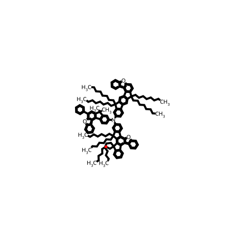 CCCCCCCCC1(CCCCCCCC)c2cc(N(c3ccc4c(c3)C(C)(C)c3cc(-c5ccccc5)c5oc6ccccc6c5c3-4)c3ccc4c(c3)C(CCCCCCC)(CCCCCCC)c3c5c(c6c(oc7ccccc76)c3-4)-c3ccccc3C5(CCCCCCC)CCCCCCC)ccc2-c2cc3c(cc21)-c1c(ccc2oc4ccccc4c12)C3(CCCCCCCC)CCCCCCCC